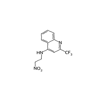 O=[N+]([O-])CCNc1cc(C(F)(F)F)nc2ccccc12